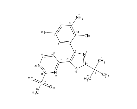 CC(C)(C)c1nc(-c2cc(F)cc(N)c2Cl)c(-c2ccnc(S(C)(=O)=O)n2)s1